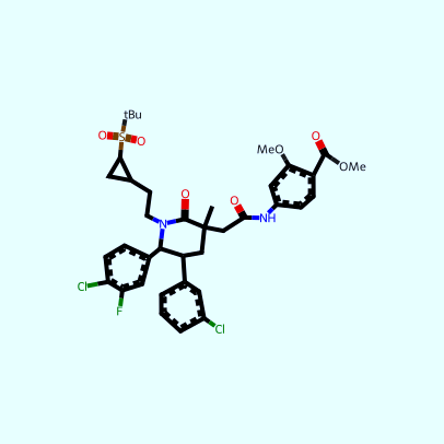 COC(=O)c1ccc(NC(=O)CC2(C)CC(c3cccc(Cl)c3)C(c3ccc(Cl)c(F)c3)N(CCC3CC3S(=O)(=O)C(C)(C)C)C2=O)cc1OC